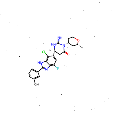 C[C@@H]1C[C@H](N2C(=N)N[C@](C)(c3cc(F)c4nc(-c5cccc(C#N)c5)[nH]c4c3Cl)CC2=O)CCO1